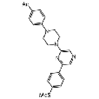 CSc1ccc(-c2cncc(N3CCN(c4ccc(C(C)=O)cc4)CC3)n2)cc1